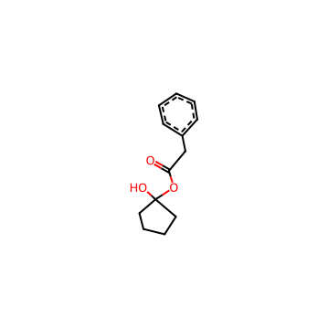 O=C(Cc1ccccc1)OC1(O)CCCC1